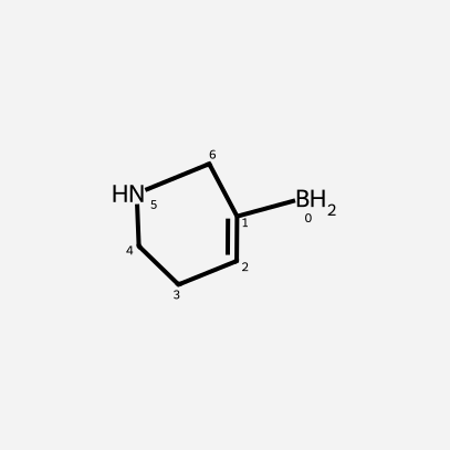 BC1=CCCNC1